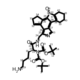 CC(C)(C)OC(=O)N(C(=O)OC(C)(C)C)[C@@H](CCCCN)C(=O)NCC1=c2c(c3c(c4c2=CCC4)[N+](=O)C2=C3CCCC2)C=N1